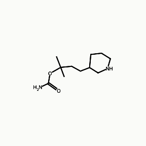 CC(C)(CCC1CCCNC1)OC(N)=O